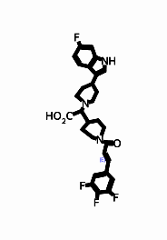 O=C(O)C(C1CCN(C(=O)/C=C/c2cc(F)c(F)c(F)c2)CC1)N1CCC(c2c[nH]c3cc(F)ccc23)CC1